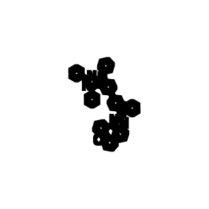 c1ccc(-c2nc(-c3ccccc3)c3c4cc(-c5ccc6c(c5)c5ccccc5n6-c5nc(-c6cccc7oc8ccccc8c67)c6ccccc6n5)ccc4n(-c4ccccc4)c3n2)cc1